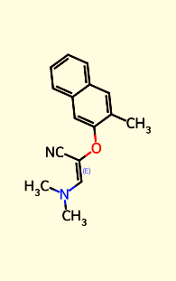 Cc1cc2ccccc2cc1O/C(C#N)=C/N(C)C